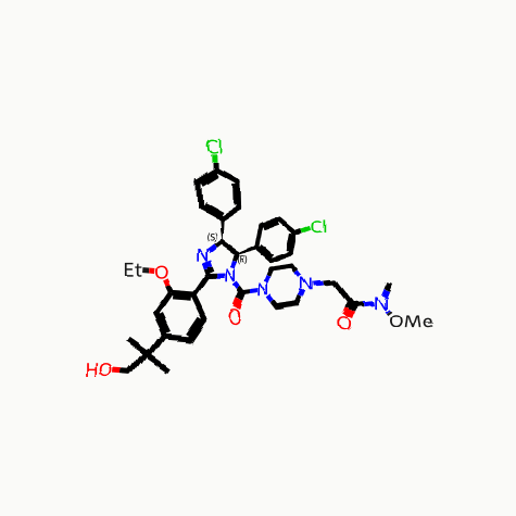 CCOc1cc(C(C)(C)CO)ccc1C1=N[C@@H](c2ccc(Cl)cc2)[C@@H](c2ccc(Cl)cc2)N1C(=O)N1CCN(CC(=O)N(C)OC)CC1